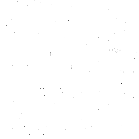 CCOC(=O)c1ccccc1C(OC)c1cccc2[nH]c(CCc3ccccc3)nc12